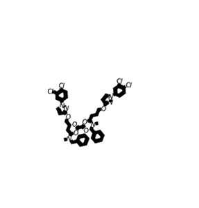 CN(Cc1ccccc1)C(CCCOc1ccn(-c2ccc(Cl)c(Cl)c2)n1)OC(=O)C(=O)OC(CCCOc1ccn(-c2ccc(Cl)c(Cl)c2)n1)N(C)Cc1ccccc1